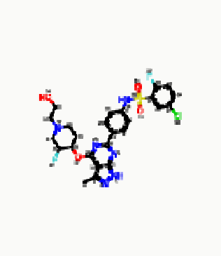 Cc1n[nH]c2nc(-c3ccc(NS(=O)(=O)c4cc(Cl)ccc4F)cc3)nc(O[C@@H]3CCN(CCO)C[C@@H]3F)c12